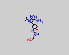 CC(C)n1nc(-c2ccc3oc(NCCO)nc3c2)c2c(N)ncnc21